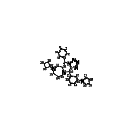 c1ccc(Cn2nnnc2C(c2cccc(-n3cccc3)c2)N2CCCN(C3CCC3)CC2)cc1